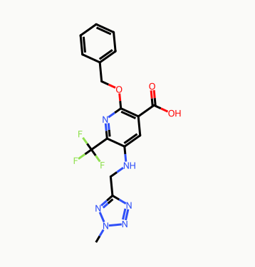 Cn1nnc(CNc2cc(C(=O)O)c(OCc3ccccc3)nc2C(F)(F)F)n1